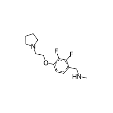 CNCc1ccc(OCCN2CCCC2)c(F)c1F